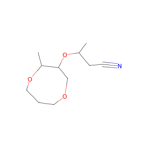 CC(CC#N)OC1COCCCOC1C